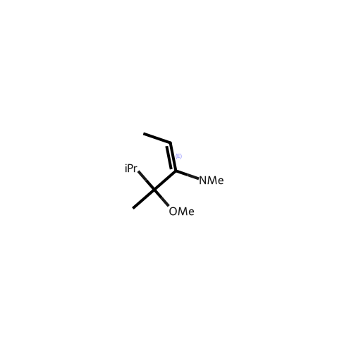 C/C=C(/NC)C(C)(OC)C(C)C